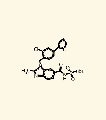 CCCCS(=O)(=O)NC(=O)c1ccc2nc(C)n(Cc3ccc(-c4ccco4)cc3Cl)c2c1